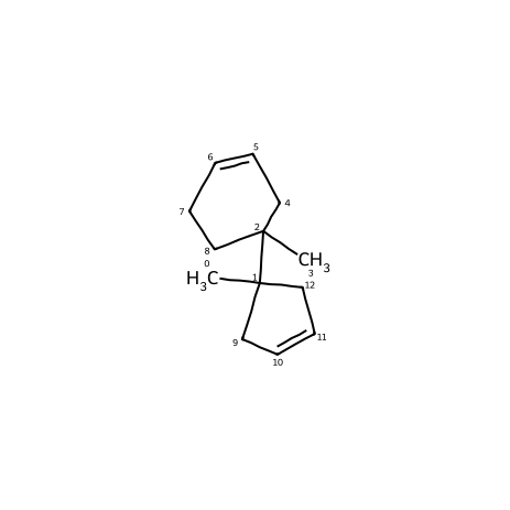 CC1(C2(C)CC=CCC2)CC=CC1